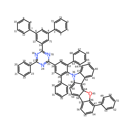 c1ccc(-c2cc(-c3ccccc3)cc(-c3nc(-c4ccccc4)nc(-c4cc(-c5ccccc5)c(-n5c6ccccc6c6c7oc8c(-c9ccccc9)cccc8c7ccc65)c(-c5ccccc5)c4)n3)c2)cc1